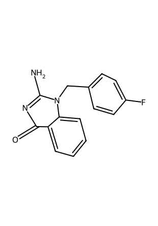 Nc1nc(=O)c2ccccc2n1Cc1ccc(F)cc1